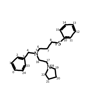 c1ccc(CN(CCCSc2ccccc2)CCN2CCCC2)cc1